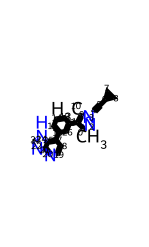 Cc1nn(C#CC2CC2)c(C)c1-c1cccc(-c2ccnc3nc[nH]c23)c1